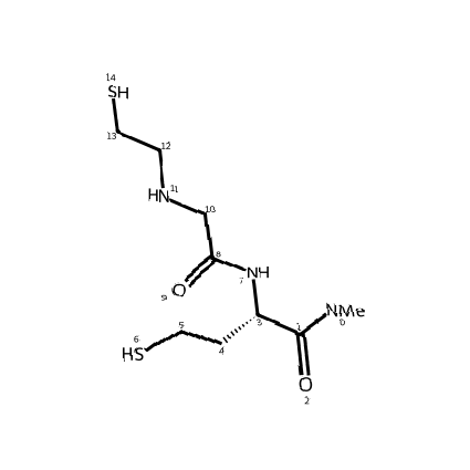 CNC(=O)[C@H](CCS)NC(=O)CNCCS